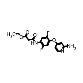 CCOC(=O)CC(=O)Nc1cc(F)c(Oc2ccnc(N)c2)cc1F